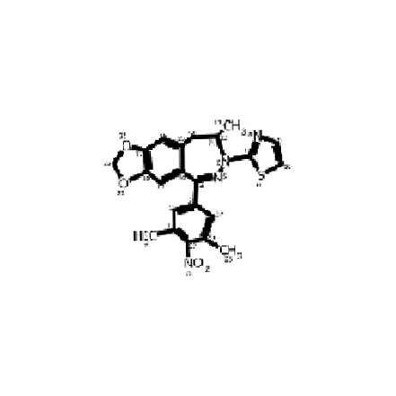 Cc1cc(C2=NN(c3nccs3)[C@H](C)Cc3cc4c(cc32)OCO4)cc(C)c1[N+](=O)[O-]